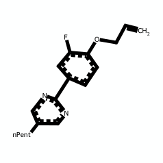 C=CCOc1ccc(-c2ncc(CCCCC)cn2)cc1F